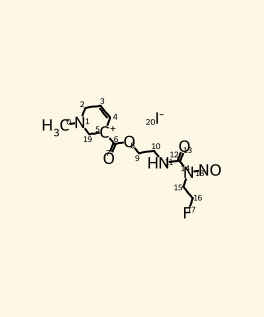 CN1CC=C[C+](C(=O)OCCNC(=O)N(CCF)N=O)C1.[I-]